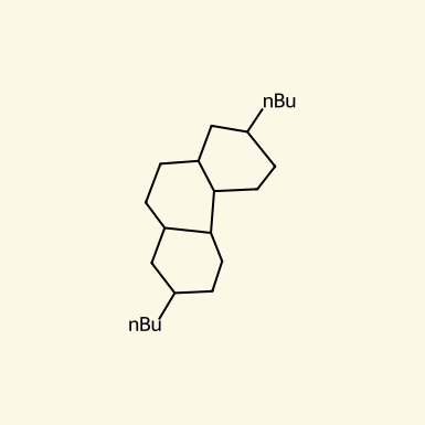 CCCCC1CCC2C(CCC3CC(CCCC)CCC32)C1